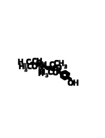 CC(C)(C)OC(=O)NCCCC1(C)OB(c2ccc(CO)cc2)OC1(C)C